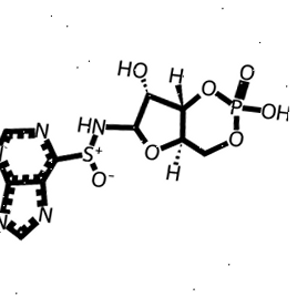 O=P1(O)OC[C@H]2OC(N[S+]([O-])c3ncnc4[nH]cnc34)[C@H](O)[C@@H]2O1